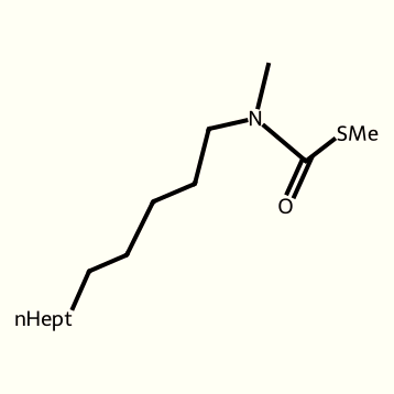 CCCCCCCCCCCCN(C)C(=O)SC